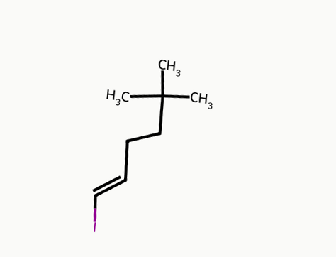 CC(C)(C)CCC=CI